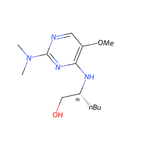 CCCC[C@H](CO)Nc1nc(N(C)C)ncc1OC